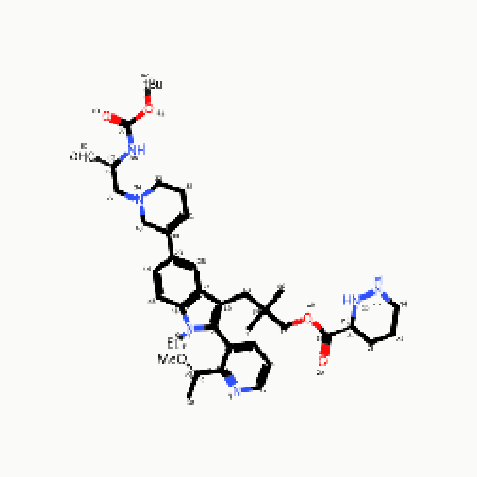 CCn1c(-c2cccnc2[C@H](C)OC)c(CC(C)(C)COC(=O)[C@@H]2CCCNN2)c2cc(C3=CCCN(C[C@@H](C=O)NC(=O)OC(C)(C)C)C3)ccc21